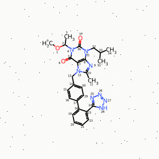 COC(C)n1c(=O)c2c(nc(C)n2Cc2ccc(-c3ccccc3-c3nnn[nH]3)cc2)n(CC(C)C)c1=O